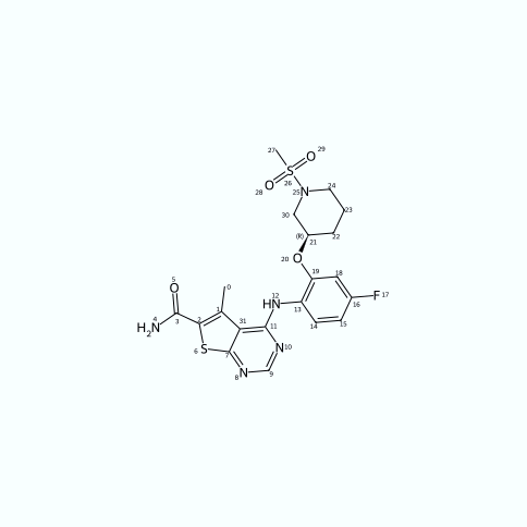 Cc1c(C(N)=O)sc2ncnc(Nc3ccc(F)cc3O[C@@H]3CCCN(S(C)(=O)=O)C3)c12